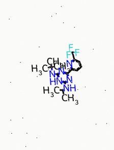 CC(C)Nc1nc(NC(C)(C)C)nc(-c2cccc(C(F)(F)F)n2)n1